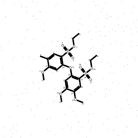 CCOS(=O)(=O)c1cc(C)c(OC)cc1Oc1cc(OC)c(OC)cc1S(=O)(=O)OCC